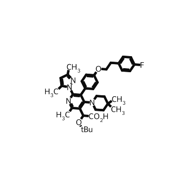 Cc1cc(C)n(-c2nc(C)c(C(OC(C)(C)C)C(=O)O)c(N3CCC(C)(C)CC3)c2-c2ccc(OCCc3ccc(F)cc3)cc2)n1